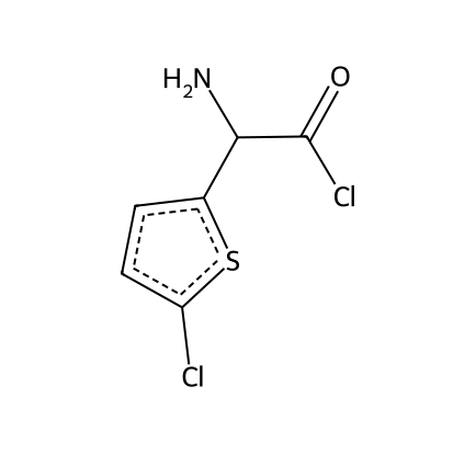 NC(C(=O)Cl)c1ccc(Cl)s1